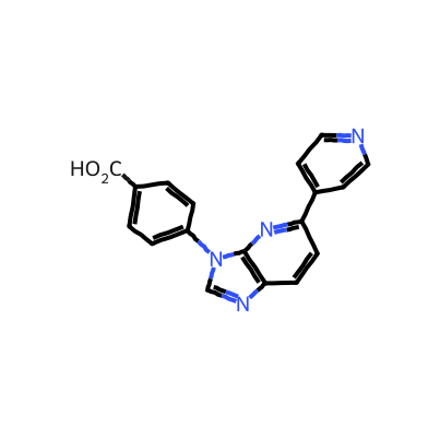 O=C(O)c1ccc(-n2cnc3ccc(-c4ccncc4)nc32)cc1